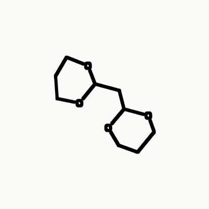 C1COC(CC2OCCCO2)OC1